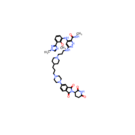 CNC(=O)c1nnc(NCCCN2CCC(CCCN3CCN(c4ccc5c(c4)C(=O)N(C4CCC(=O)NC4=O)C5=O)CC3)CC2)cc1Nc1cccc(-c2ncn(C)n2)c1OC